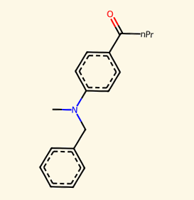 CCCC(=O)c1ccc(N(C)Cc2ccccc2)cc1